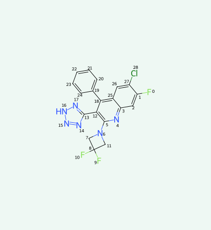 Fc1cc2nc(N3CC(F)(F)C3)c(-c3nn[nH]n3)c(-c3ccccc3)c2cc1Cl